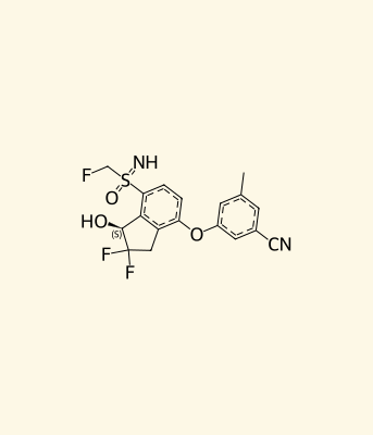 Cc1cc(C#N)cc(Oc2ccc(S(=N)(=O)CF)c3c2CC(F)(F)[C@H]3O)c1